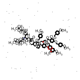 COc1ccc(COC(=O)C2=C(C[N+]3(CCN(CCCNC(=O)c4ccc(OCc5ccc(OC)cc5)c(OCc5ccc(OC)cc5)c4Cl)C(=O)c4ccc(OCc5ccc(OC)cc5)c(OCc5ccc(OC)cc5)c4Cl)CCCC3)CS[C@@H]3[C@H](NC(=O)/C(=N\OC(C)(C)C(=O)OC(C)(C)C)c4csc(NC(=O)OC(C)(C)C)n4)C(=O)N23)cc1